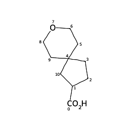 O=C(O)C1CCC2(CCOCC2)C1